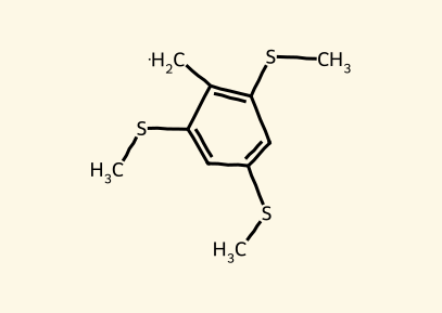 [CH2]c1c(SC)cc(SC)cc1SC